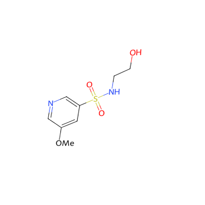 COc1cncc(S(=O)(=O)NCCO)c1